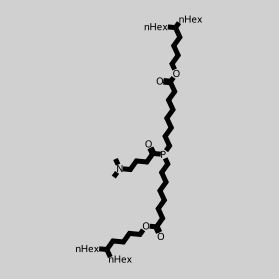 CCCCCCC(CCCCCC)CCCCOC(=O)CCCCCCCP(CCCCCCCC(=O)OCCCCC(CCCCCC)CCCCCC)C(=O)CCCN(C)C